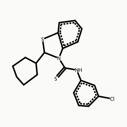 S=C(Nc1cccc(Cl)c1)N1c2ccccc2SC1C1CCCCC1